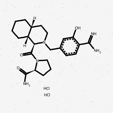 Cl.Cl.N=C(N)c1ccc(CN2CC[C@H]3CCCC[C@H]3[C@@H]2C(=O)N2CCC[C@H]2C(N)=O)cc1O